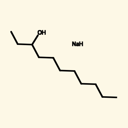 CCCCCCCCC(O)CC.[NaH]